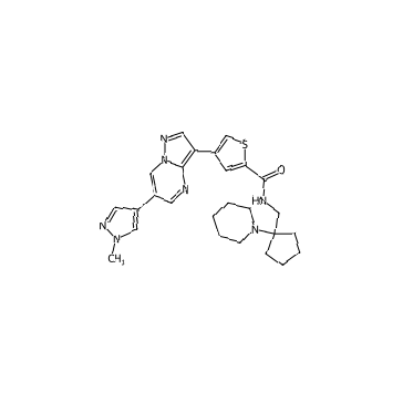 Cn1cc(-c2cnc3c(-c4csc(C(=O)NCC5(N6CCCCC6)CCCC5)c4)cnn3c2)cn1